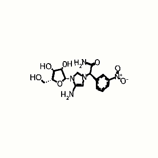 NC(=O)C(c1cccc([N+](=O)[O-])c1)N1C=C(N)N([C@@H]2O[C@H](CO)[C@@H](O)[C@H]2O)C1